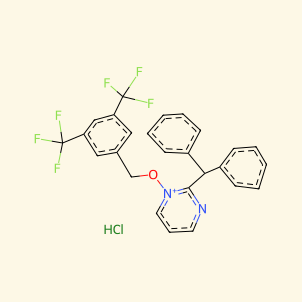 Cl.FC(F)(F)c1cc(CO[n+]2cccnc2C(c2ccccc2)c2ccccc2)cc(C(F)(F)F)c1